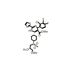 COC[C@@H](CN([C@H]1CC[C@H](C2=C(C(=O)OC)C(c3ccc(F)c(F)c3Cl)N=C(c3nccs3)N2)CC1)S(C)(=O)=O)OC(C)=O